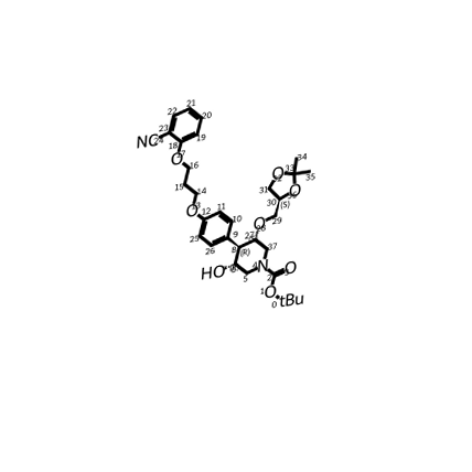 CC(C)(C)OC(=O)N1C[C@H](O)[C@@H](c2ccc(OCCCOc3ccccc3C#N)cc2)[C@H](OC[C@H]2COC(C)(C)O2)C1